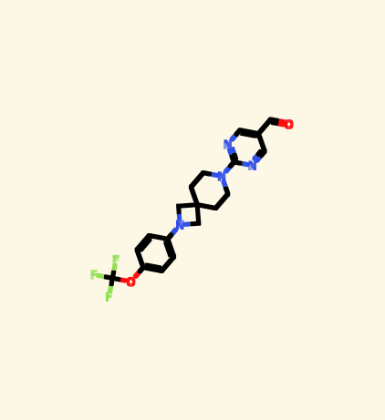 O=Cc1cnc(N2CCC3(CC2)CN(c2ccc(OC(F)(F)F)cc2)C3)nc1